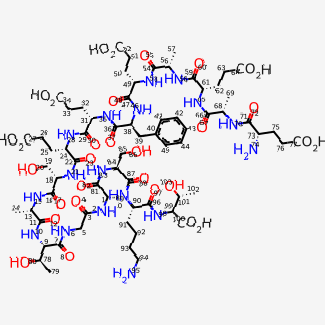 C[C@H](NC(=O)CNC(=O)[C@@H](NC(=O)[C@H](C)NC(=O)[C@H](CO)NC(=O)[C@H](CCC(=O)O)NC(=O)[C@H](CCC(=O)O)NC(=O)[C@H](Cc1ccccc1)NC(=O)[C@H](CCC(=O)O)NC(=O)[C@H](C)NC(=O)[C@H](CCC(=O)O)NC(=O)[C@H](C)NC(=O)[C@@H](N)CCC(=O)O)[C@@H](C)O)C(=O)N[C@@H](CO)C(=O)N[C@@H](CCCCN)C(=O)N[C@H](C(=O)O)[C@@H](C)O